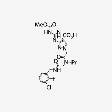 COC(=O)N/C(N)=N/c1nn(CC(=O)N(CC(=O)NCc2cccc(Cl)c2F)C(C)C)cc1C(=O)O